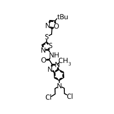 Cn1c(C(=O)Nc2ncc(SCc3ncc(C(C)(C)C)o3)s2)nc2cc(N(CCCl)CCCl)ccc21